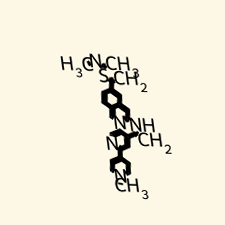 C=C(Nc1cc2cc(C(=C)S/C(C)=N\C)ccc2cn1)c1ccnc(C2=CCN(C)CC2)c1